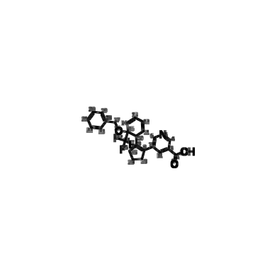 O=C(O)c1cncc(C2=C(C3C=CC=CC3(OCc3ccccc3)C(F)(F)F)CCC2)c1